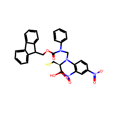 O=C(O)[C@@H](CS)N(CN(C(=O)OCC1c2ccccc2-c2ccccc21)c1ccccc1)c1ccc([N+](=O)[O-])cc1[N+](=O)[O-]